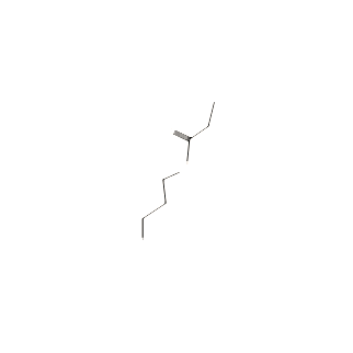 CCC(=O)OCCCCl